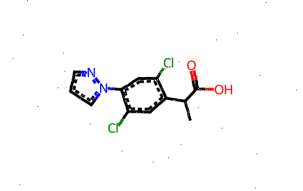 CC(C(=O)O)c1cc(Cl)c(-n2cccn2)cc1Cl